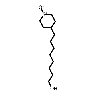 [O-][S+]1CCC(CCCCCCCCO)CC1